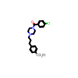 CCOC(=O)c1ccc(CCCN2CCN(C(=O)c3ccc(Cl)cc3)CC2)cc1